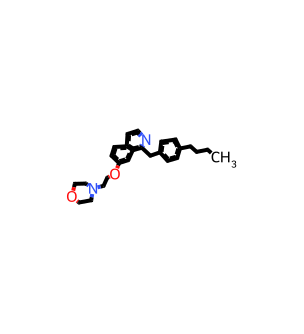 CCCCc1ccc(Cc2nccc3ccc(OCCN4CCOCC4)cc23)cc1